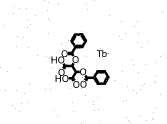 O=C(OC(C(=O)O)C(OC(=O)c1ccccc1)C(=O)O)c1ccccc1.[Tb]